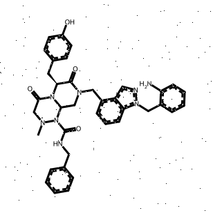 CN1CC(=O)N2C(CN(Cc3cccc4c3cnn4Cc3ccccc3N)C(=O)[C@@H]2Cc2ccc(O)cc2)N1C(=O)NCc1ccccc1